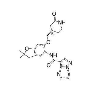 CC1(C)Cc2cc(NC(=O)c3cnn4cccnc34)c(OC[C@@H]3CCNC(=O)C3)cc2O1